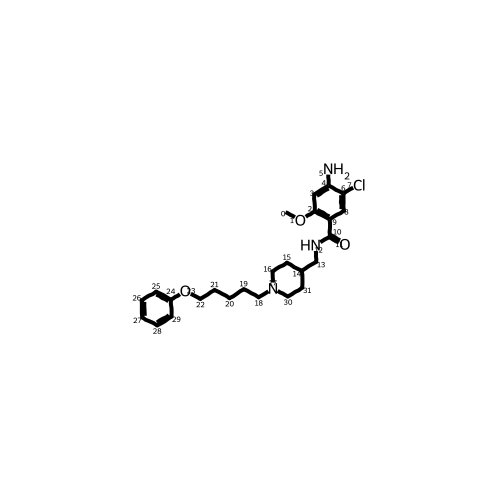 COc1cc(N)c(Cl)cc1C(=O)NCC1CCN(CCCCCOc2ccccc2)CC1